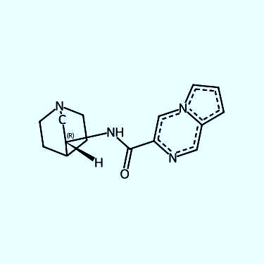 O=C(N[C@H]1CN2CCC1CC2)c1cn2cccc2cn1